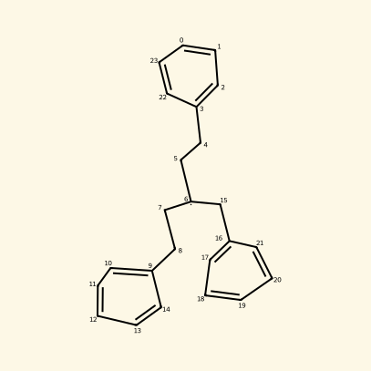 c1ccc(CC[C](CCc2ccccc2)Cc2ccccc2)cc1